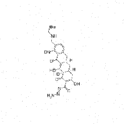 CC(C)(C)CNCc1ccc2c(c1N=O)C(=O)C1=C(O)[C@]3(O)C(=O)C(C(=O)N=NN)=C(O)C[C@@H]3C[C@@H]1C2